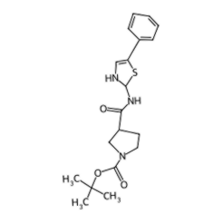 CC(C)(C)OC(=O)N1CCC(C(=O)NC2NC=C(c3ccccc3)S2)C1